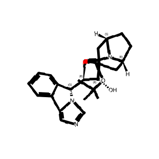 CC(C)(C)OC(=O)N1[C@@H]2CC[C@H]1CC1(C[C@H]([C@H]3c4ccccc4-c4cncn43)[C@H]1O)C2